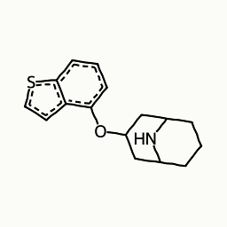 c1cc(OC2CC3CCCC(C2)N3)c2ccsc2c1